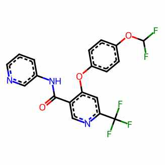 O=C(Nc1cccnc1)c1cnc(C(F)(F)F)cc1Oc1ccc(OC(F)F)cc1